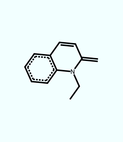 C=C1C=Cc2ccccc2N1CC